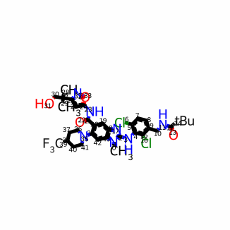 Cn1c(Nc2c(Cl)ccc(CNC(=O)C(C)(C)C)c2Cl)nc2cc(C(=O)Nc3cc(C(C)(C)CO)no3)c(N3CCC(C(F)(F)F)CC3)cc21